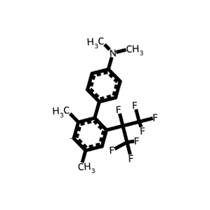 Cc1[c]c(C)c(-c2ccc(N(C)C)cc2)c(C(F)(C(F)(F)F)C(F)(F)F)c1